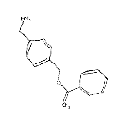 C=C(OCc1ccc(CN)cc1)c1ccccc1